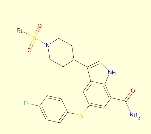 CCS(=O)(=O)N1CCC(c2c[nH]c3c(C(N)=O)cc(Sc4ccc(F)cc4)cc23)CC1